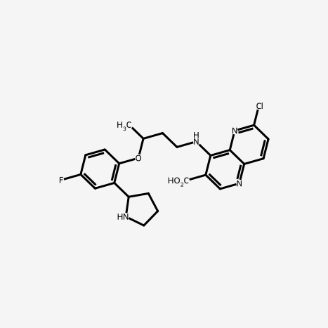 CC(CCNc1c(C(=O)O)cnc2ccc(Cl)nc12)Oc1ccc(F)cc1C1CCCN1